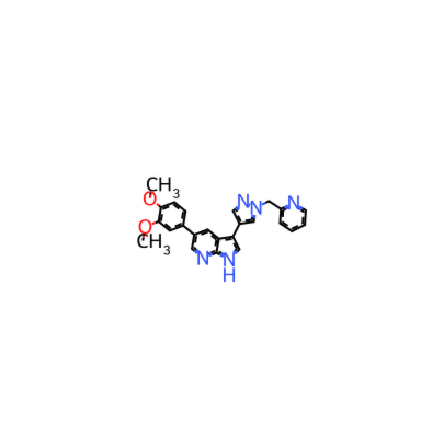 COc1ccc(-c2cnc3[nH]cc(-c4cnn(Cc5ccccn5)c4)c3c2)cc1OC